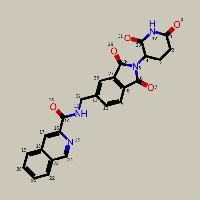 O=C1CCC(N2C(=O)c3ccc(CNC(=O)c4cc5ccccc5cn4)cc3C2=O)C(=O)N1